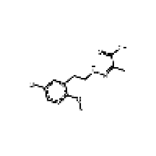 COc1ccc(Cl)cc1CCNN=C(C)C(=O)O